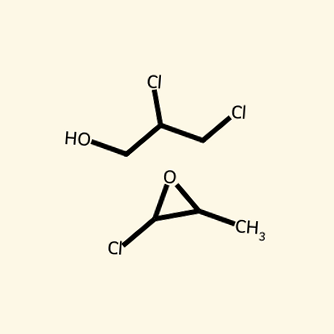 CC1OC1Cl.OCC(Cl)CCl